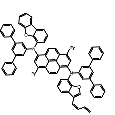 C=C/C=C\c1coc2c(N(c3cc(-c4ccccc4)cc(-c4ccccc4)c3)c3cc(C(C)C)c4ccc5c(N(c6cc(-c7ccccc7)cc(-c7ccccc7)c6)c6cccc7c6oc6ccccc67)cc(C(C)C)c6ccc3c4c65)cccc12